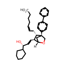 O=C(O)CCC/C=C\C[C@H]1[C@H](/C=C/[C@@H](O)C2CCCCC2)[C@@H]2C[C@@]1(c1ccc(-c3ccccc3)cc1)CO2